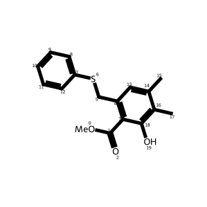 COC(=O)c1c(CSc2ccccc2)cc(C)c(C)c1O